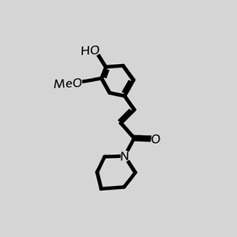 COC1=C(O)CC=C(C=CC(=O)N2CCCCC2)C1